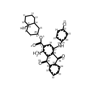 Nc1c(C(=O)O[C@@H]2CC[C@@H]3CCCCC3C2)cc(Nc2ccc(Cl)cc2)c2c1C(=O)c1ccccc1C2=O